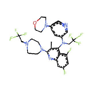 Cc1c(N2CCN(CC(F)(F)F)CC2)nc2cc(F)cc(F)c2c1N(CC(F)(F)F)c1cncc(N2CCOCC2)c1